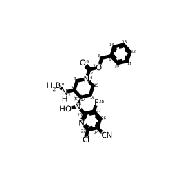 BNC1CN(C(=O)OCc2ccccc2)CC[C@H]1N(O)c1nc(Cl)c(C#N)cc1F